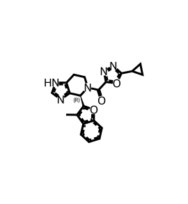 Cc1c([C@H]2c3nc[nH]c3CCN2C(=O)c2nnc(C3CC3)o2)oc2ccccc12